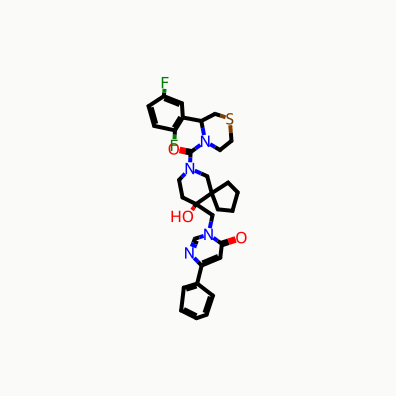 O=C(N1CCC(O)(Cn2cnc(-c3ccccc3)cc2=O)C2(CCCC2)C1)N1CCSCC1c1cc(F)ccc1F